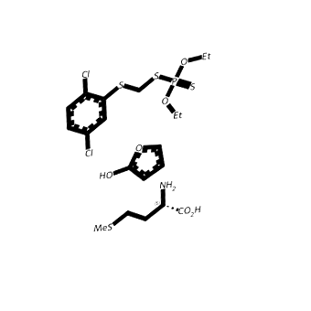 CCOP(=S)(OCC)SCSc1cc(Cl)ccc1Cl.CSCC[C@H](N)C(=O)O.Oc1ccco1